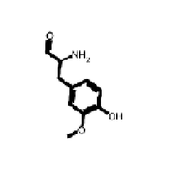 COc1cc(C[C@H](N)C=O)ccc1O